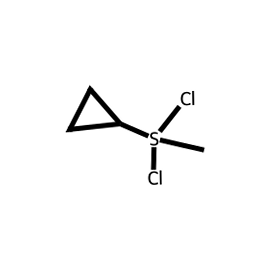 CS(Cl)(Cl)C1CC1